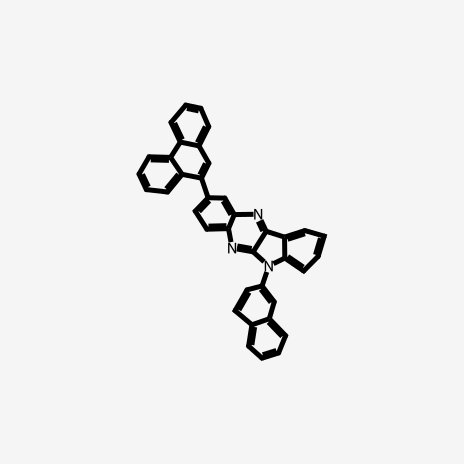 c1ccc2cc(-n3c4ccccc4c4nc5cc(-c6cc7ccccc7c7ccccc67)ccc5nc43)ccc2c1